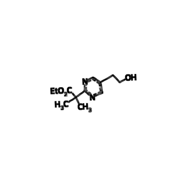 CCOC(=O)C(C)(C)c1ncc(CCO)cn1